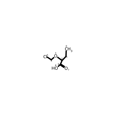 CCC(OCCl)C(=O)O